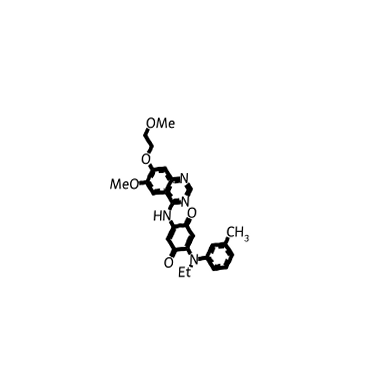 CCN(C1=CC(=O)C(Nc2ncnc3cc(OCCOC)c(OC)cc23)=CC1=O)c1cccc(C)c1